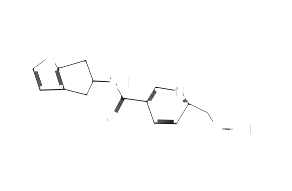 COCc1ccc(C(=O)NC2Cc3ccsc3C2)cn1